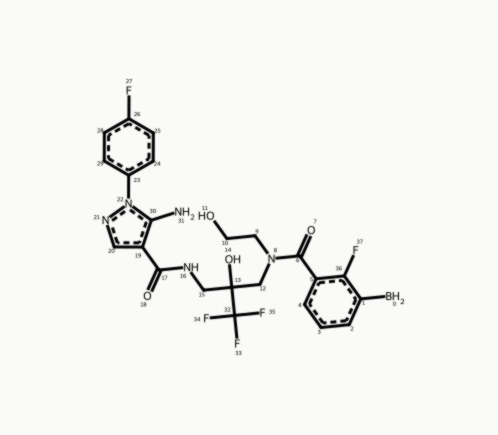 Bc1cccc(C(=O)N(CCO)CC(O)(CNC(=O)c2cnn(-c3ccc(F)cc3)c2N)C(F)(F)F)c1F